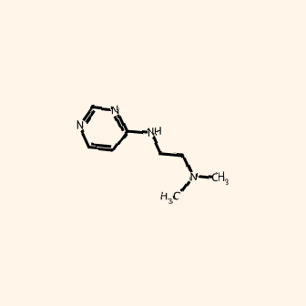 CN(C)CCNc1ccncn1